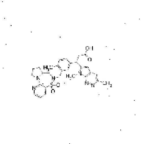 Cc1cc2cc(C(CC(=O)O)c3ccc(C)c(CN4C[C@@H]5CCCN5c5ncccc5S4(=O)=O)c3)n(C)c2nn1